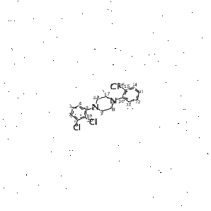 Clc1[c]ccc(N2CCN(c3ccccc3Cl)CC2)c1Cl